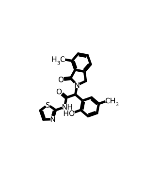 Cc1ccc(O)c(C(C(=O)Nc2nccs2)N2Cc3cccc(C)c3C2=O)c1